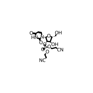 N#CCCOP(=O)(OCCC#N)O[C@@H]1[C@H](O)[C@@H](CO)O[C@H]1n1ccc(=O)[nH]c1=O